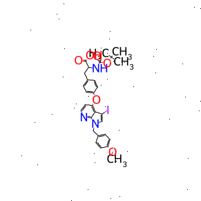 COc1ccc(Cn2cc(I)c3c(Oc4ccc(CC(NC(=O)OC(C)(C)C)C(=O)O)cc4)ccnc32)cc1